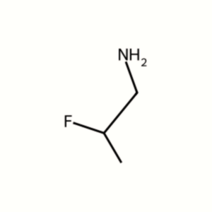 CC(F)CN